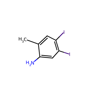 Cc1cc(I)c(I)cc1N